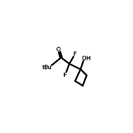 CC(C)(C)C(=O)C(F)(F)C1(O)CCC1